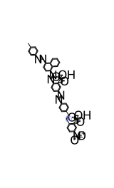 Cc1ccc(N=Nc2ccc(N=Nc3ccc(N=Nc4ccc(/C=C/c5ccc([N+](=O)[O-])cc5S(=O)(=O)O)cc4)cc3S(=O)(=O)O)c3ccccc23)cc1